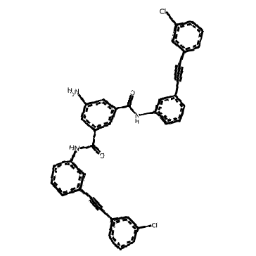 Nc1cc(C(=O)Nc2cccc(C#Cc3cccc(Cl)c3)c2)cc(C(=O)Nc2cccc(C#Cc3cccc(Cl)c3)c2)c1